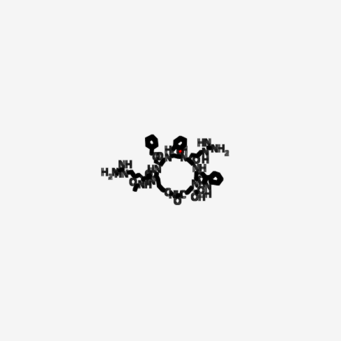 CC(=O)N[C@@H](CCCNC(=N)N)C(=O)N[C@H]1CCCNC(=O)CC[C@@H](C(=O)O)NC(=O)[C@H](Cc2c[nH]c3ccccc23)NC(=O)[C@H](CCCNC(=N)N)NC(=O)[C@@H](Cc2ccccc2)NC(=O)[C@H](COCc2ccccc2)NC1=O